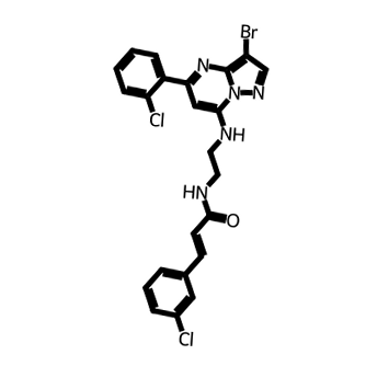 O=C(/C=C/c1cccc(Cl)c1)NCCNc1cc(-c2ccccc2Cl)nc2c(Br)cnn12